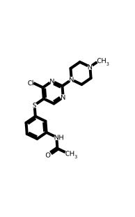 CC(=O)Nc1cccc(Sc2cnc(N3CCN(C)CC3)nc2Cl)c1